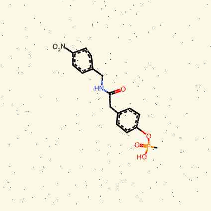 CP(=O)(O)Oc1ccc(CC(=O)NCc2ccc([N+](=O)[O-])cc2)cc1